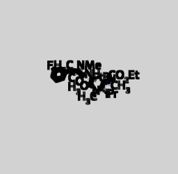 CCOC(=O)/C(C)=C/[C@H](C(C)C)N(C)C(=O)[C@@H](NC(=O)[C@H](NC)C(C)(C)c1cccc(F)c1)C(C)(C)C